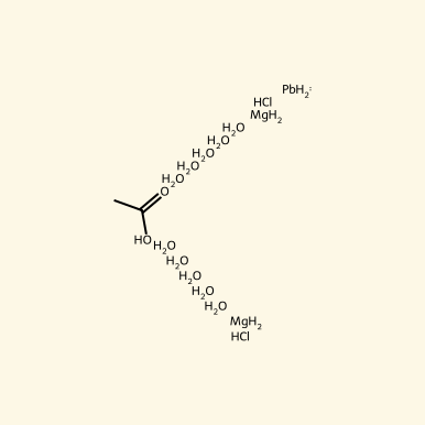 CC(=O)O.Cl.Cl.O.O.O.O.O.O.O.O.O.O.[MgH2].[MgH2].[PbH2]